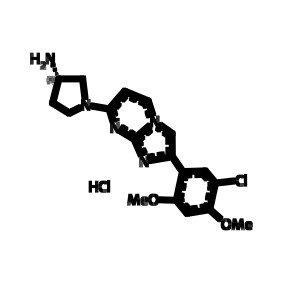 COc1cc(OC)c(-c2cn3ccc(N4CC[C@H](N)C4)nc3n2)cc1Cl.Cl